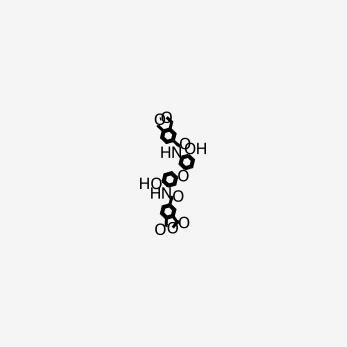 O=C(Nc1cc(Oc2ccc(O)c(NC(=O)c3ccc4c(c3)C(=O)OC4=O)c2)ccc1O)c1ccc2c(c1)COOC2